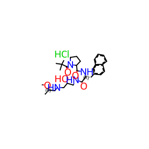 CO[C@H](C)CNCC(O)CNC(=O)[C@@H](Cc1ccc2ccccc2c1)NC(=O)C1CCCN1C(=O)C(C)(C)C.Cl